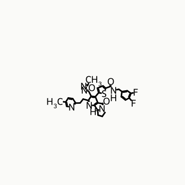 Cc1ccc(CCc2nc3c(c(-c4ccc(C(=O)NCc5ccc(F)c(F)c5)s4)c2-c2nnc(C)o2)C(=O)N2CCC[C@@H]32)nc1